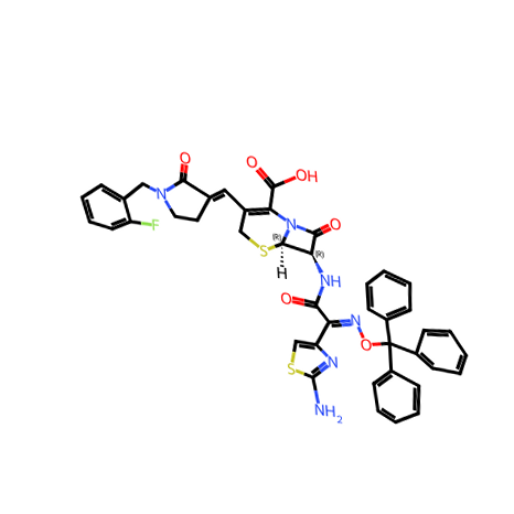 Nc1nc(C(=NOC(c2ccccc2)(c2ccccc2)c2ccccc2)C(=O)N[C@@H]2C(=O)N3C(C(=O)O)=C(C=C4CCN(Cc5ccccc5F)C4=O)CS[C@H]23)cs1